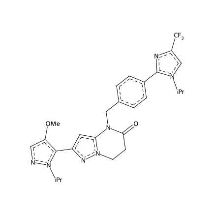 COc1cnn(C(C)C)c1-c1cc2n(n1)CCC(=O)N2Cc1ccc(-c2nc(C(F)(F)F)cn2C(C)C)cc1